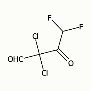 O=CC(Cl)(Cl)C(=O)C(F)F